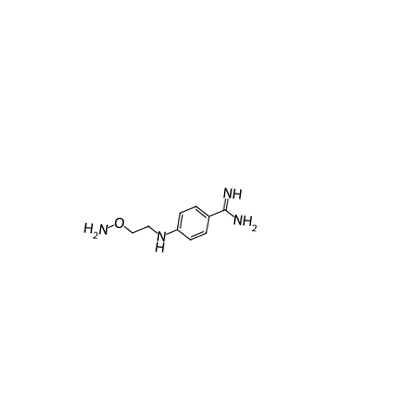 N=C(N)c1ccc(NCCON)cc1